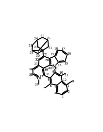 Cc1cccc2c(C)c3c(c(C)c12)n1c2ccccc2c2c(C45CC6CC(CC(C6)C4)C5)cc4cc[n+](C)c3c4c21